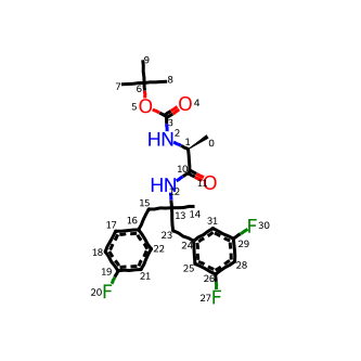 C[C@H](NC(=O)OC(C)(C)C)C(=O)NC(C)(Cc1ccc(F)cc1)Cc1cc(F)cc(F)c1